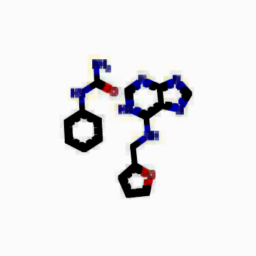 NC(=O)Nc1ccccc1.c1coc(CNc2[nH]cnc3ncnc2-3)c1